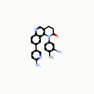 Cc1ccc(N2C(=O)CCc3cnc4ccc(-c5ccc(N)nc5)cc4c32)cc1N